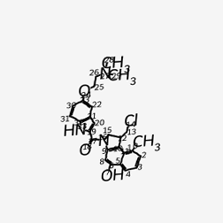 Cc1cccc2c(O)cc3c(c12)C(CCl)CN3C(=O)c1cc2cc(OCCN(C)C)ccc2[nH]1